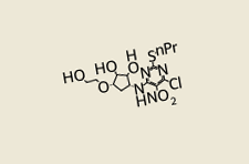 CCCSc1nc(Cl)c([N+](=O)[O-])c(N[C@@H]2C[C@H](OCCO)[C@@H](O)[C@H]2O)n1